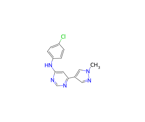 Cn1cc(-c2cc(Nc3ccc(Cl)cc3)ncn2)cn1